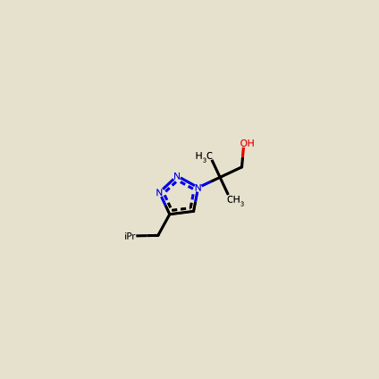 CC(C)Cc1cn(C(C)(C)CO)nn1